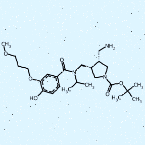 COCCCOc1cc(C(=O)N(C[C@@H]2CN(C(=O)OC(C)(C)C)C[C@H]2CN)C(C)C)ccc1O